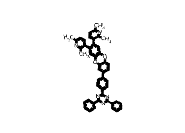 Cc1ccc(-c2cc3c(cc2-c2ccc(C)nc2C)Oc2cc(-c4ccc(-c5nc(-c6ccccc6)nc(-c6ccccc6)n5)cc4)ccc2O3)c(C)n1